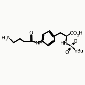 CCCCS(=O)(=O)N[C@@H](Cc1ccc(NC(=O)CCCN)cc1)C(=O)O